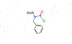 CNN(Cc1ccccc1)C(=O)Cl